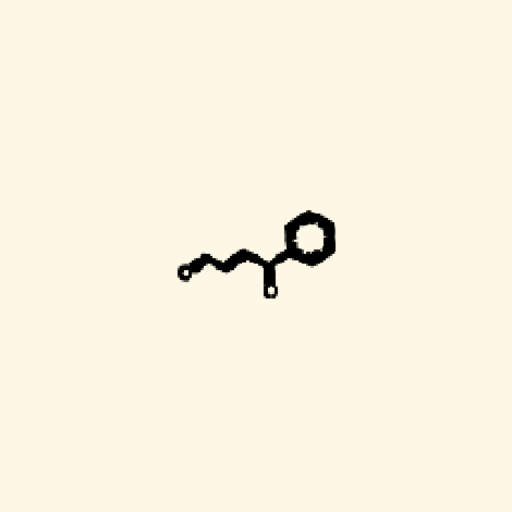 O=C/C=C/C(=O)c1ccccc1